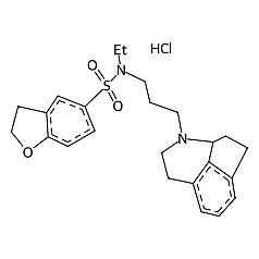 CCN(CCCN1CCc2cccc3c2C1CC3)S(=O)(=O)c1ccc2c(c1)CCO2.Cl